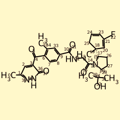 Cc1cc(C(=O)c2ccc(C(=O)NCC(=O)N3[C@H](C4(C)C=C(F)C=CC4)CC[C@@H]3C(C)(C)O)cc2C)c(=O)[nH]n1